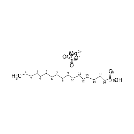 CCCCCCCCCCCCCCCCCC(=O)O.O=C([O-])[O-].[Mg+2]